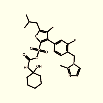 Cc1c(CC(C)C)sc(S(=O)(=O)OC(=O)NC2(O)CCCCC2)c1-c1ccc(Cn2ccnc2C)c(F)c1